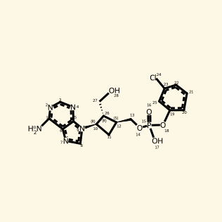 Nc1ncnc2c1ncn2[C@@H]1C[C@H](COP(=O)(O)Oc2cccc(Cl)c2)[C@H]1CO